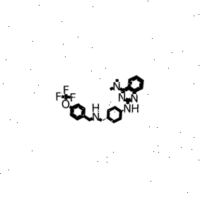 CN(C)c1nc(N[C@H]2CC[C@@H](CNCc3ccc(OC(F)(F)F)cc3)CC2)nc2ccccc12